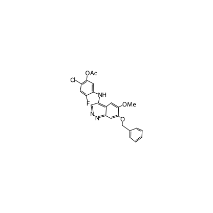 COc1cc2c(Nc3cc(OC(C)=O)c(Cl)cc3F)cnnc2cc1OCc1ccccc1